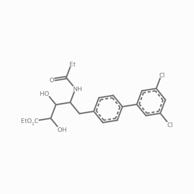 CCOC(=O)C(O)C(O)C(Cc1ccc(-c2cc(Cl)cc(Cl)c2)cc1)NC(=O)CC